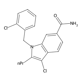 CCCc1c(Cl)c2ccc(C(N)=O)cc2n1Cc1ccccc1Cl